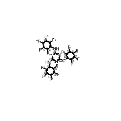 Fc1c(F)c(F)c(Nc2nc(Nc3c(F)c(F)c(F)c(F)c3F)nc(Oc3c(F)c(F)c(F)c(F)c3F)n2)c(F)c1F